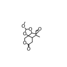 CCC1OC(OC)OC12COC(=O)CC2C(C)C=O